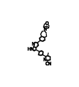 Cc1ccc(C#N)nc1-c1ccc(-c2c[nH]c3ncc(-c4ccc5c(c4)CC[C@@H](N4C6COCC4C6)CC5)cc23)cc1